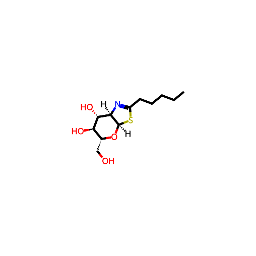 CCCCCC1=N[C@@H]2[C@@H](O)[C@H](O)[C@@H](CO)O[C@@H]2S1